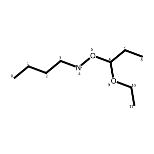 CCCC[N]OC(CC)OCC